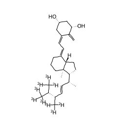 [2H]C([2H])([2H])C([C@H](/C=C/[C@@H](C)[C@H]1CC[C@H]2/C(=C/C=C3/C[C@H](O)C[C@H](O)C3=C)CCC[C@]12C)C([2H])([2H])[2H])C([2H])([2H])[2H]